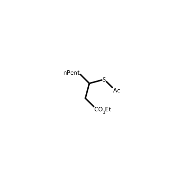 CCCCCC(CC(=O)OCC)SC(C)=O